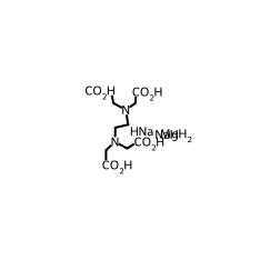 O=C(O)CN(CCN(CC(=O)O)CC(=O)O)CC(=O)O.[MgH2].[NaH].[NaH]